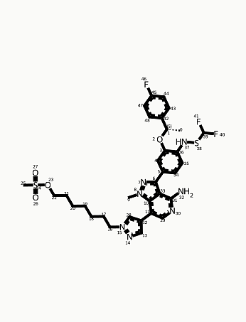 C[C@H](Oc1cc(-c2nn(C)c3c(-c4cnn(CCCCCCCOS(C)(=O)=O)c4)cnc(N)c23)ccc1NSC(F)F)c1ccc(F)cc1